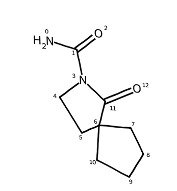 NC(=O)N1CCC2(CCCC2)C1=O